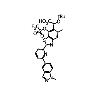 Cc1cc2nc(-c3cccc(-c4ccc5c(cnn5C)c4)n3)sc2c(OS(=O)(=O)C(F)(F)F)c1C(OC(C)(C)C)C(=O)O